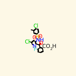 Cc1cc(S(=O)(=O)Nc2cc(Cl)cnc2C(=O)c2c(F)cccc2C(=O)O)ccc1Cl